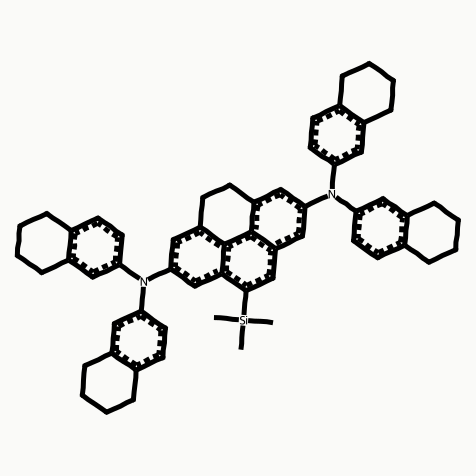 C[Si](C)(C)c1cc2cc(N(c3ccc4c(c3)CCCC4)c3ccc4c(c3)CCCC4)cc3c2c2c(cc(N(c4ccc5c(c4)CCCC5)c4ccc5c(c4)CCCC5)cc12)CC3